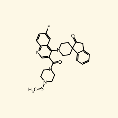 CSN1CCN(C(=O)c2cnc3ccc(F)cc3c2N2CCC3(CC2)C(=O)Cc2ccccc23)CC1